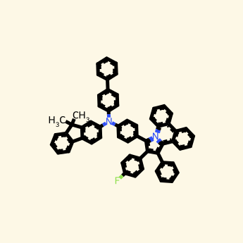 CC1(C)c2ccccc2-c2ccc(N(c3ccc(-c4ccccc4)cc3)c3ccc(-c4c(-c5ccc(F)cc5)c(-c5ccccc5)c5c6ccccc6c6ccccc6n45)cc3)cc21